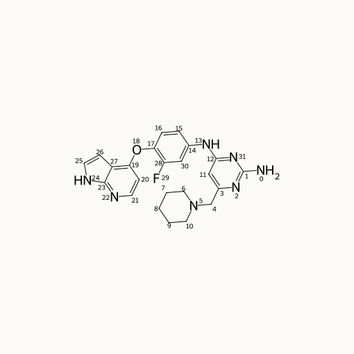 Nc1nc(CN2CCCCC2)cc(Nc2ccc(Oc3ccnc4[nH]ccc34)c(F)c2)n1